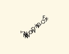 C/C(=N\OCc1ccc(C(C)(F)F)cc1)c1ccc(OCc2nnnn2CC2CC2)nc1